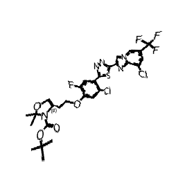 CC(C)(C)OC(=O)N1[C@H](CCOc2cc(Cl)c(-c3nnc(-c4cn5cc(C(F)(F)F)cc(Cl)c5n4)s3)cc2F)COC1(C)C